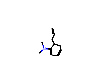 C=CCC1CC=CC=C1N(C)C